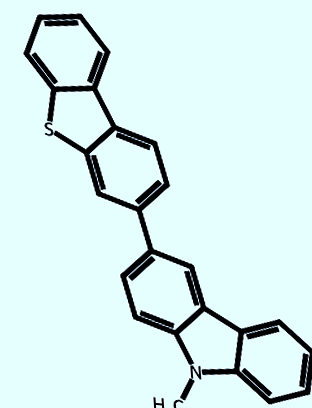 Cn1c2ccccc2c2cc(-c3ccc4c(c3)sc3ccccc34)ccc21